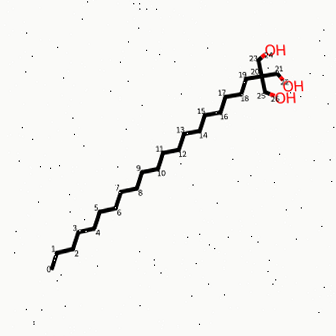 CCCCCCCCCCCCCCCCCCCCC(CO)(CO)CO